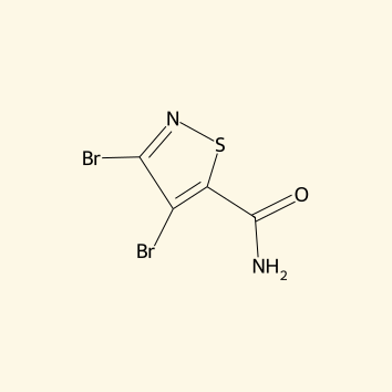 NC(=O)c1snc(Br)c1Br